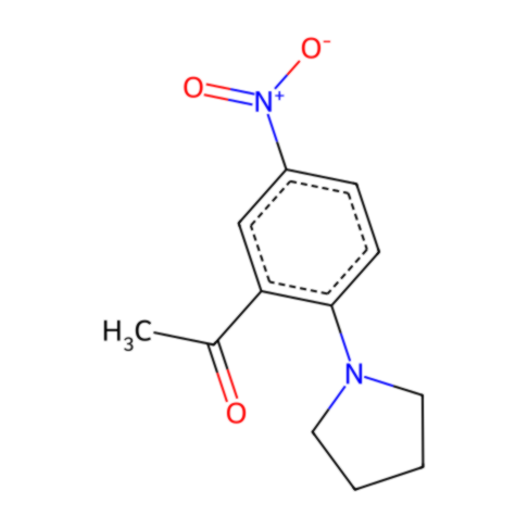 CC(=O)c1cc([N+](=O)[O-])ccc1N1CCCC1